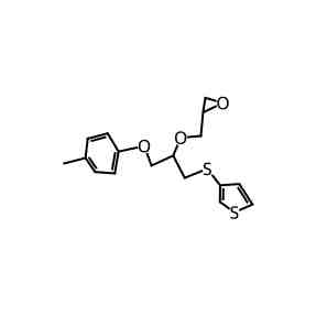 Cc1ccc(OCC(CSc2ccsc2)OCC2CO2)cc1